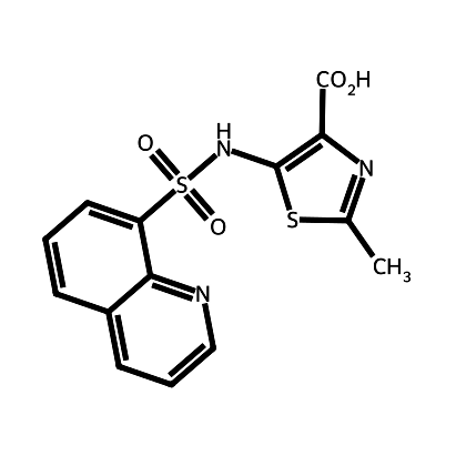 Cc1nc(C(=O)O)c(NS(=O)(=O)c2cccc3cccnc23)s1